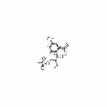 CCC(COS(C)(=O)=O)Nc1ccc(Cl)cc1[N+](=O)[O-]